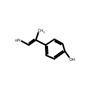 CCCC=C(C)c1ccc(O)cc1